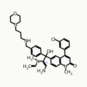 C=CN(C)/C(=C\N)C(O)(c1ccc(CNCCCN2CCOCC2)cc1)c1ccc2c(c1)c(-c1cccc(Cl)c1)cc(=O)n2C